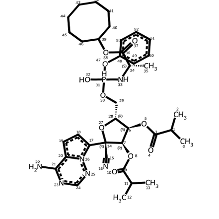 CC(C)C(=O)O[C@H]1[C@@H](OC(=O)C(C)C)[C@](C#N)(c2ccc3c(N)ncnn23)O[C@@H]1CO[PH](O)(N[C@@H](C)C(=O)OC1CCCCCCC1)Oc1ccccc1